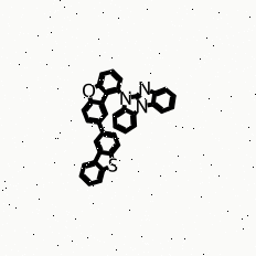 c1ccc2c(c1)nc1n(-c3cccc4oc5ccc(-c6ccc7sc8ccccc8c7c6)cc5c34)c3ccccc3n21